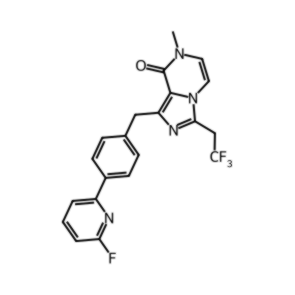 Cn1ccn2c(CC(F)(F)F)nc(Cc3ccc(-c4cccc(F)n4)cc3)c2c1=O